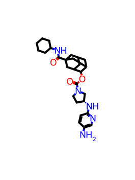 Nc1ccc(N[C@@H]2CCN(C(=O)OC3C4CC5CC3CC(C(=O)NC3CCCCC3)(C5)C4)C2)nc1